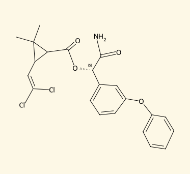 CC1(C)C(C=C(Cl)Cl)C1C(=O)O[C@H](C(N)=O)c1cccc(Oc2ccccc2)c1